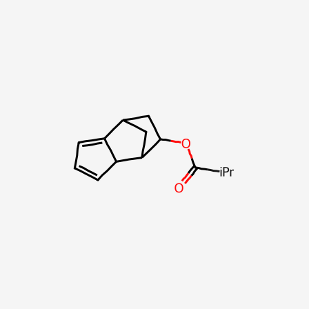 CC(C)C(=O)OC1CC2CC1C1C=CC=C21